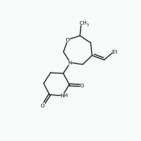 CC/C=C1\CC(C)OCN(C2CCC(=O)NC2=O)C1